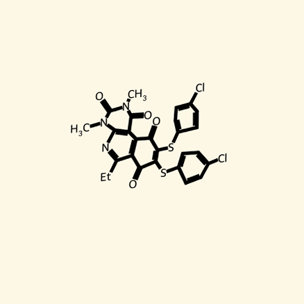 CCc1nc2c(c3c1C(=O)C(Sc1ccc(Cl)cc1)=C(Sc1ccc(Cl)cc1)C3=O)c(=O)n(C)c(=O)n2C